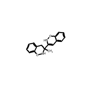 CC1(C2=Cc3ccccc3ON2)Cc2ccccc2ON1